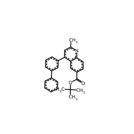 Cc1cc(-c2cccc(-c3ccccc3)c2)c2cc(C(=O)OC(C)(C)C)ccc2n1